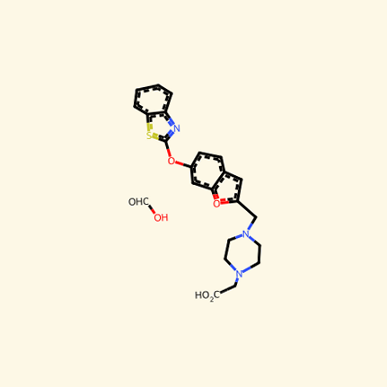 O=C(O)CN1CCN(Cc2cc3ccc(Oc4nc5ccccc5s4)cc3o2)CC1.O=CO